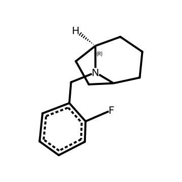 Fc1ccccc1CN1C2CCC[C@@H]1CC2